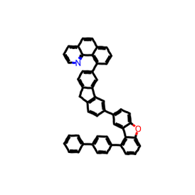 c1ccc(-c2ccc(-c3cccc4oc5ccc(-c6ccc7c(c6)-c6cc(-c8cccc9ccc%10cccnc%10c89)ccc6C7)cc5c34)cc2)cc1